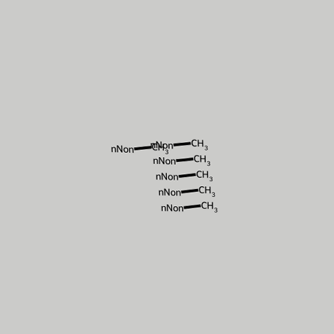 CCCCCCCCCC.CCCCCCCCCC.CCCCCCCCCC.CCCCCCCCCC.CCCCCCCCCC.CCCCCCCCCC